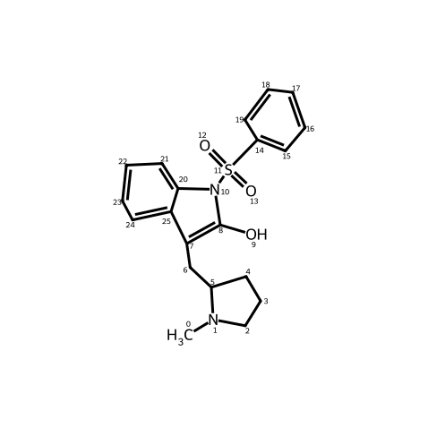 CN1CCCC1Cc1c(O)n(S(=O)(=O)c2ccccc2)c2ccccc12